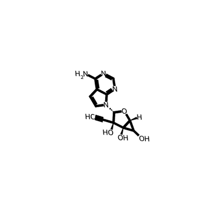 C#C[C@]1(O)[C@H](n2ccc3c(N)ncnc32)O[C@@H]2C(O)[C@@]21O